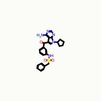 Nc1ncnc2c1c(C(=O)c1cccc(NS(=O)(=O)Cc3ccccc3)c1)cn2C1CCCC1